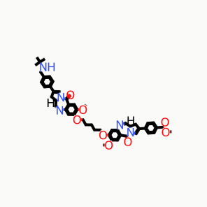 COC(=O)c1ccc(C2=CN3C(=O)c4cc(OC)c(OCCCCCOc5cc6c(cc5OC)C(=O)N5C=C(c7ccc(CNC(C)(C)C)cc7)C[C@H]5C=N6)cc4N=C[C@@H]3C2)cc1